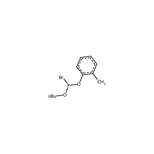 CCCCOP(Br)Oc1ccccc1C